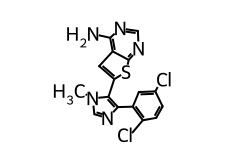 Cn1cnc(-c2cc(Cl)ccc2Cl)c1-c1cc2c(N)ncnc2s1